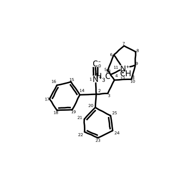 [C-]#[N+]C(CC1CC2CCC(C1)[N+]2(C)C)(c1ccccc1)c1ccccc1